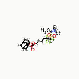 CCN(CC)C(C)S(=O)(=O)C(F)(F)C(F)(F)CCCCOC(=O)C12CC3CC(C1)C(=O)C(C3)C2